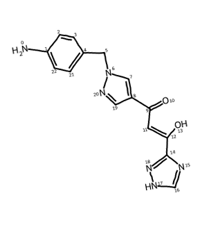 Nc1ccc(Cn2cc(C(=O)C=C(O)c3nc[nH]n3)cn2)cc1